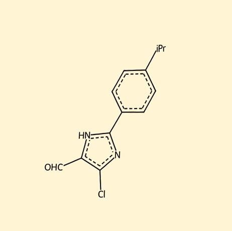 CC(C)c1ccc(-c2nc(Cl)c(C=O)[nH]2)cc1